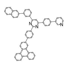 c1cncc(-c2ccc(-c3cc(-c4cccc(-c5ccc6ccccc6c5)c4)nc(-c4ccc(-c5ccc6c7ccccc7c7ccccc7c6c5)cc4)n3)cc2)c1